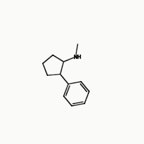 CNC1CCCC1c1ccccc1